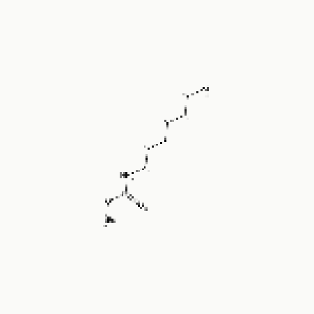 CC(C)(C)OC(=O)NCCCCCCS